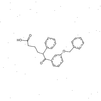 O=C(O)CCCC(C(=O)c1cccc(OCc2ccccc2)c1)c1ccccc1